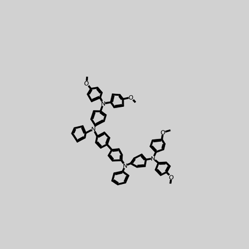 COc1ccc(N(c2ccc(OC)cc2)c2ccc(N(c3ccccc3)c3ccc(-c4ccc(N(c5ccccc5)c5ccc(N(c6ccc(OC)cc6)c6ccc(OC)cc6)cc5)cc4)cc3)cc2)cc1